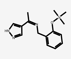 CC(=NCc1ccccc1O[Si](C)(C)C)c1cn[nH]c1